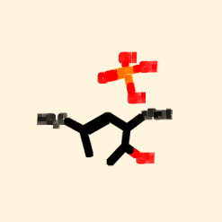 CCCCCC(C=C(C)C(=O)O)C(C)O.O=P(O)(O)O